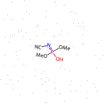 COP(O)(=NC#N)OC